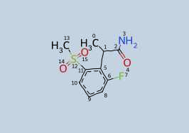 CC(C(N)=O)c1c(F)cccc1S(C)(=O)=O